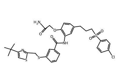 CC(C)(C)c1csc(CSc2cccc(C(=O)Nc3cc(CCCS(=O)(=O)c4ccc(Cl)cc4)ccc3OCC(N)=O)c2)n1